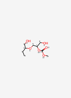 CCC(CO)OCC(CO)OC(=O)OC